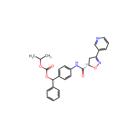 CC(C)OC(=O)OC(c1ccccc1)c1ccc(NC(=O)[C@@H]2CC(c3cccnc3)=NO2)cc1